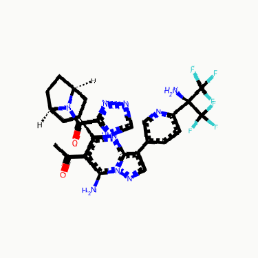 CC(=O)c1c([C@H]2C[C@H]3CC[C@@H](C2)N3C(=O)c2nnc[nH]2)nc2c(-c3ccc(C(N)(C(F)(F)F)C(F)(F)F)nc3)cnn2c1N